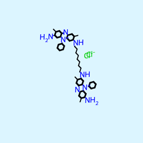 Cc1cc2nc3cc(C)c(NCCCCCCCCCNc4cc5c(cc4C)nc4cc(C)c(N)cc4[n+]5-c4ccccc4)cc3[n+](-c3ccccc3)c2cc1N.[Cl-].[Cl-]